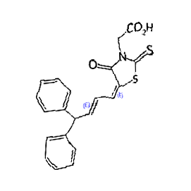 O=C(O)CN1C(=O)/C(=C\C=C\C(c2ccccc2)c2ccccc2)SC1=S